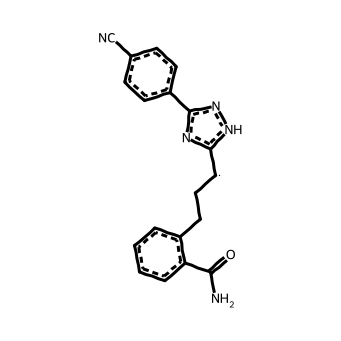 N#Cc1ccc(-c2n[nH]c([CH]CCc3ccccc3C(N)=O)n2)cc1